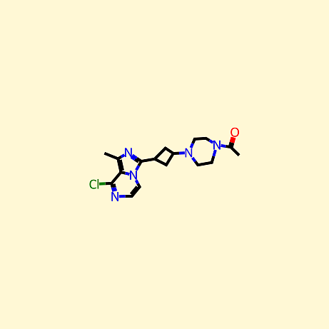 CC(=O)N1CCN(C2CC(c3nc(C)c4c(Cl)nccn34)C2)CC1